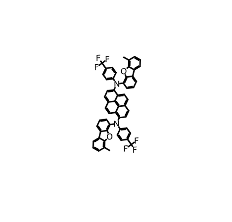 Cc1cccc2c1oc1c(N(c3ccc(C(F)(F)F)cc3)c3ccc4ccc5c(N(c6ccc(C(F)(F)F)cc6)c6cccc7c6oc6c(C)cccc67)ccc6ccc3c4c65)cccc12